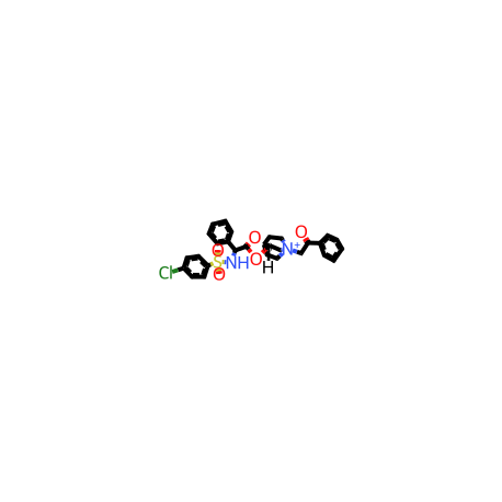 O=C(C[N+]12CCC(CC1)[C@@H](OC(=O)C(NS(=O)(=O)c1ccc(Cl)cc1)c1ccccc1)C2)c1ccccc1